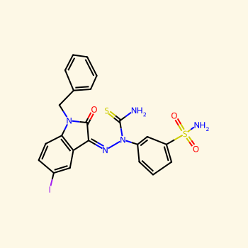 NC(=S)N(/N=C1\C(=O)N(Cc2ccccc2)c2ccc(I)cc21)c1cccc(S(N)(=O)=O)c1